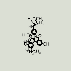 COC(=O)c1c(-c2cc(OC)c(OC)c(OC)c2)c2ccc(O)cc2c(=O)n1-c1ccc(NC(=O)OC(C)(C)C)cc1